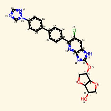 O[C@@H]1COC2C1OC[C@H]2Oc1nc2nc(-c3ccc(-c4ccc(-n5cncn5)cc4)cc3)c(Cl)cc2[nH]1